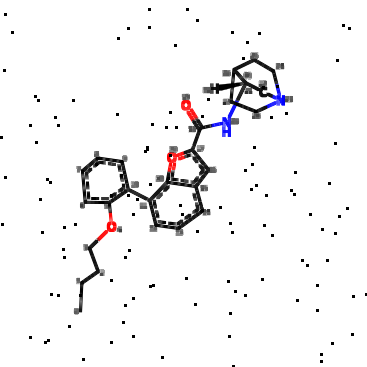 CCCCOc1ccccc1-c1cccc2cc(C(=O)N[C@H]3CN4CCC3CC4)oc12